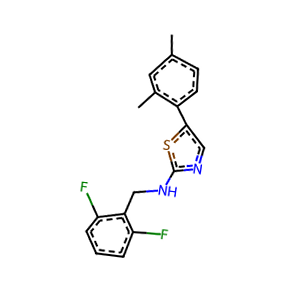 Cc1ccc(-c2cnc(NCc3c(F)cccc3F)s2)c(C)c1